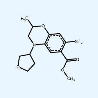 COC(=O)c1cc2c(cc1N)OC(C)CN2C1CCOC1